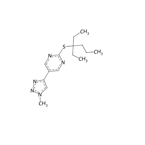 CCCC(CC)(CC)Sc1ncc(-c2cn(C)nn2)cn1